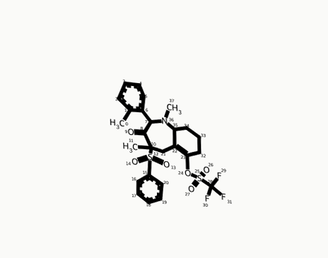 Cc1ccccc1C1C(=O)C(C)(S(=O)(=O)c2ccccc2)CC2=C(OS(=O)(=O)C(F)(F)F)CCCC2N1C